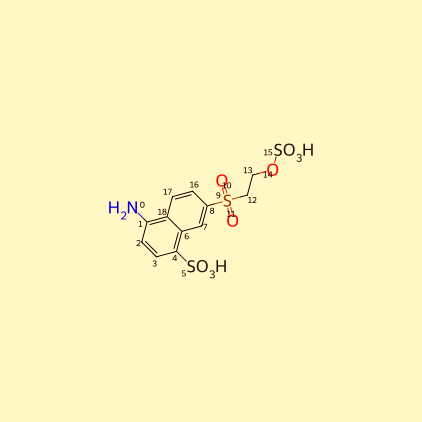 Nc1ccc(S(=O)(=O)O)c2cc(S(=O)(=O)CCOS(=O)(=O)O)ccc12